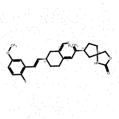 C=C(/C=C1/CC[C@@H](/C=C/c2cc(OC)ccc2F)C/C1=C/C)[C@H]1CC[C@]2(COC(=O)N2)C1